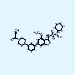 C#CC(=O)N1CCN(c2cccc(-c3cc(OC)c4c(NS(=O)(=O)N(C)C5CCCCC5)noc4c3)c2)CC1